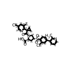 Cc1ncccc1-c1ccc(S(=O)(=O)[C@@H]2C[C@@H](C(=O)O)N(C(=O)C3(c4ncc(Cl)cc4F)CC3)C2)c(Cl)c1